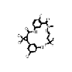 CN(/N=C/CC(F)(F)F)C(=O)c1cc(NC(=O)C2C(c3cc(Cl)cc(Cl)c3)C2(Cl)Cl)ccc1Cl